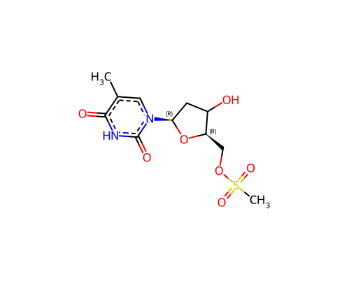 Cc1cn([C@H]2CC(O)[C@@H](COS(C)(=O)=O)O2)c(=O)[nH]c1=O